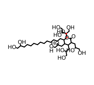 O=C(OCC(O)CO)C(CC(O)CO)C(CC(O)CO)C(CC(O)CO)C(CCCCCCCCCCCCC(O)CO)CC(O)CO